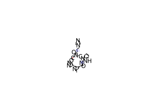 Cc1cc2cc(n1)-c1cnn(C)c1OCCN(C(=O)/C=C/CN1CCN(C)CC1)CCN1/C(=N/C2=O)Nc2ccccc21